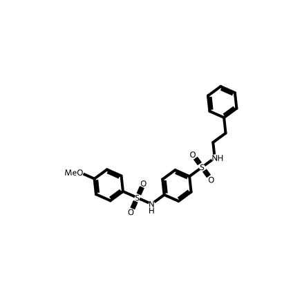 COc1ccc(S(=O)(=O)Nc2ccc(S(=O)(=O)NCCc3ccccc3)cc2)cc1